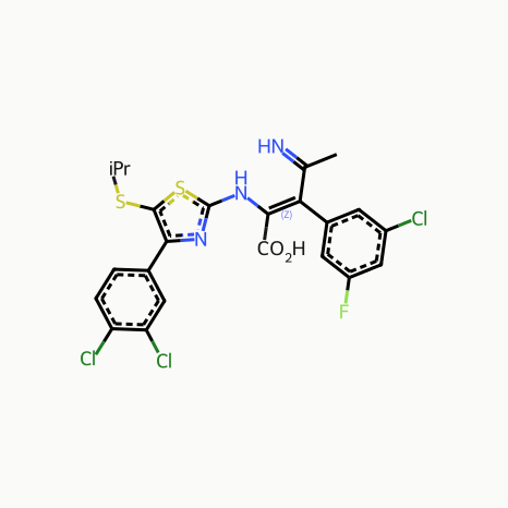 CC(=N)/C(=C(\Nc1nc(-c2ccc(Cl)c(Cl)c2)c(SC(C)C)s1)C(=O)O)c1cc(F)cc(Cl)c1